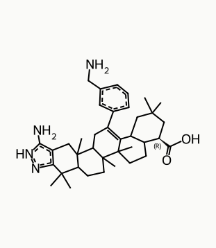 CC1(C)CC2C3=C(c4cccc(CN)c4)CC4C5(C)Cc6c(n[nH]c6N)C(C)(C)C5CCC4(C)C3(C)CCC2[C@H](C(=O)O)C1